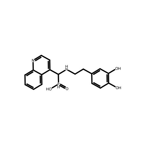 O=[PH](O)C(NCCc1ccc(O)c(O)c1)c1ccnc2ccccc12